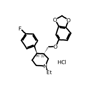 CCN1CC[C@@H](c2ccc(F)cc2)[C@H](COc2ccc3c(c2)OCO3)C1.Cl